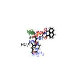 CC[C@]1(C(CCCN)C(NC(=O)C(CC(C)C)N[C@H](CCN2C(=O)c3cccc4cccc(c34)C2=O)P(=O)(O)O)C(=O)O)CN(C(N)=O)CCN1C.Cl.Cl.Cl